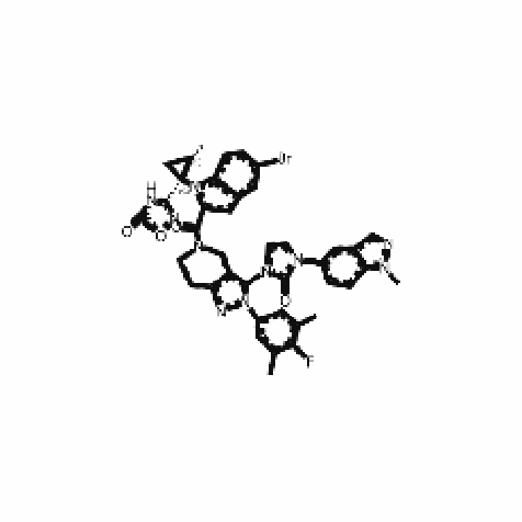 Cc1cc(-n2nc3c(c2-n2ccn(-c4ccc5c(cnn5C)c4)c2=O)CN(C(=O)c2cc4cc(Br)ccc4n2[C@@]2(c4noc(=O)[nH]4)C[C@@H]2C)CC3)cc(C)c1F